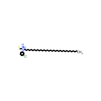 CCCCCCCCCCCCCCCCCCCCCCCCCCCCCCCCCC1=NNC(C=S)N1c1cccc(Cl)c1